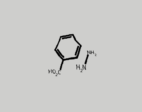 NN.O=C(O)c1ccccc1